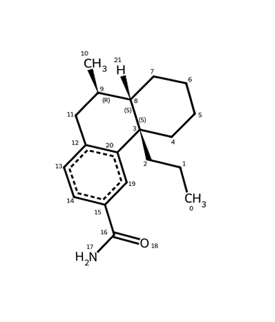 CCC[C@]12CCCC[C@H]1[C@H](C)Cc1ccc(C(N)=O)cc12